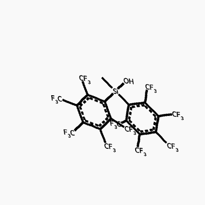 C[Si](O)(c1c(C(F)(F)F)c(C(F)(F)F)c(C(F)(F)F)c(C(F)(F)F)c1C(F)(F)F)c1c(C(F)(F)F)c(C(F)(F)F)c(C(F)(F)F)c(C(F)(F)F)c1C(F)(F)F